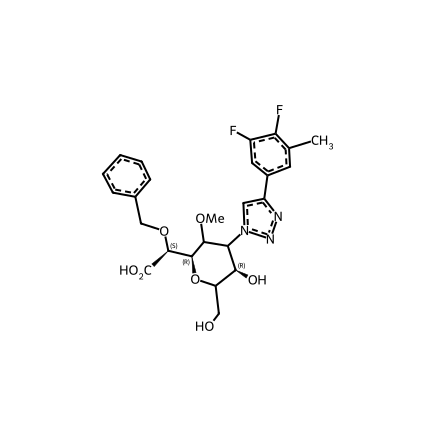 COC1C(n2cc(-c3cc(C)c(F)c(F)c3)nn2)[C@@H](O)C(CO)O[C@H]1[C@H](OCc1ccccc1)C(=O)O